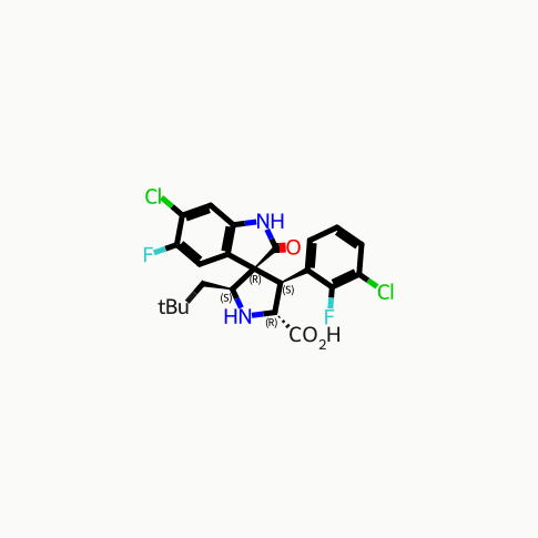 CC(C)(C)C[C@@H]1N[C@@H](C(=O)O)[C@H](c2cccc(Cl)c2F)[C@]12C(=O)Nc1cc(Cl)c(F)cc12